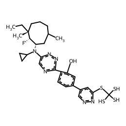 CC[C@]1(C)CCCC(C)C[C@H](N(c2cnc(-c3ccc(-c4cnnc(SC(S)(S)S)c4)cc3O)nn2)C2CC2)[C@@H]1F